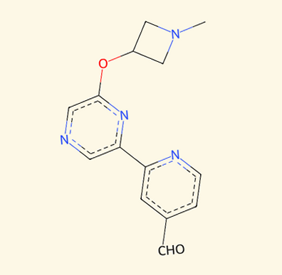 CN1CC(Oc2cncc(-c3cc(C=O)ccn3)n2)C1